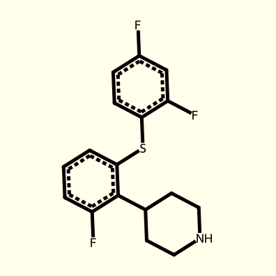 Fc1ccc(Sc2cccc(F)c2C2CCNCC2)c(F)c1